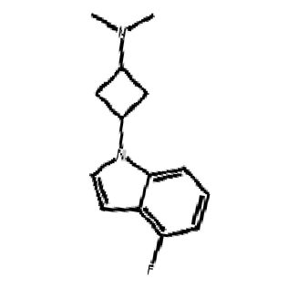 CN(C)C1CC(n2ccc3c(F)cccc32)C1